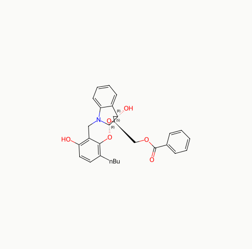 CCCCc1ccc(O)c2c1O[C@]13O[C@H](COC(=O)c4ccccc4)C[C@@]1(O)c1ccccc1N3C2